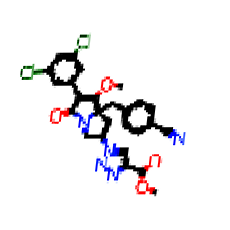 COC(=O)c1cn(C2CN3C(=O)C(c4cc(Cl)cc(Cl)c4)=C(OC)C3(Cc3ccc(C#N)cc3)C2)nn1